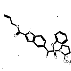 C=CCOC(=O)c1cc2cc(C(F)P(=O)(Oc3ccccc3)N3CCC[C@H]3C(=O)O)ccc2s1